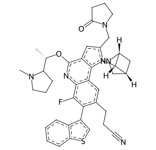 C[C@H](Oc1nc2c(F)c(-c3csc4ccccc34)c(CCC#N)cc2c2c1cc(CN1CCCC1=O)n2[C@H]1[C@H]2CN[C@@H]1C2)C1CCCN1C